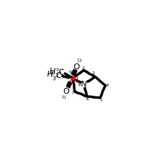 CC1CC2CCC(C1)N2S(C)(=O)=O